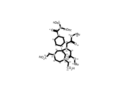 CCCCCCCCCCN(CCCCCCCCCC)C(=O)[C@H]1CC[C@H](C2(N(CC(=O)OC(C)(C)C)CC(=O)OC(C)(C)C)CN(CC(=O)O)CCN(CC(=O)O)C2)CC1